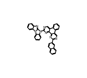 c1ccc2cc(-c3ncc4c5ccccc5c5cnc(-n6c7ccccc7n7c8ccccc8nc67)nc5c4n3)ccc2c1